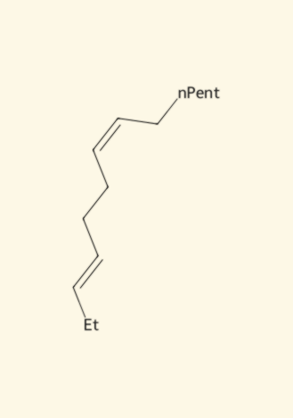 [CH2]C/C=C/CC/C=C\CCCCCC